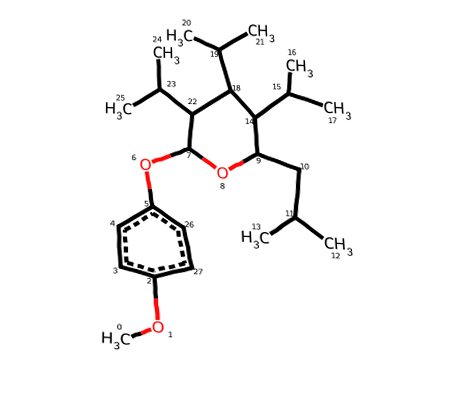 COc1ccc(OC2OC(CC(C)C)C(C(C)C)C(C(C)C)C2C(C)C)cc1